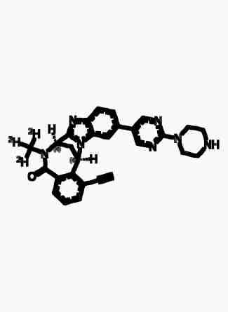 [2H]C([2H])([2H])N1C(=O)c2cccc(C#C)c2[C@H]2C[C@@H]1c1nc3ccc(-c4cnc(N5CCNCC5)nc4)cc3n12